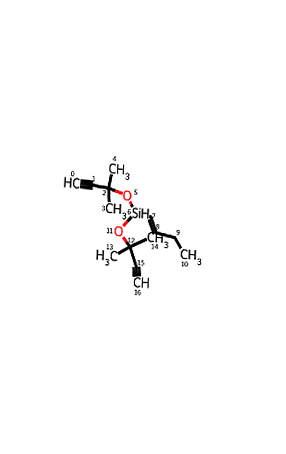 C#CC(C)(C)O[SiH](C=CCC)OC(C)(C)C#C